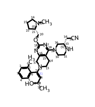 Cc1ccccc1/C(=C\[C@H](C)O)N1CCc2c(nc(OC[C@@H]3CCCN3C)nc2N2CCN[C@@H](CC#N)C2)C1